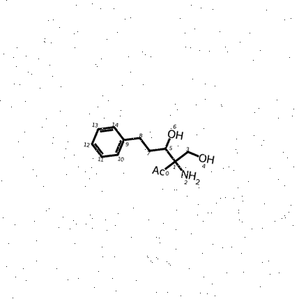 CC(=O)C(N)(CO)C(O)CCc1ccccc1